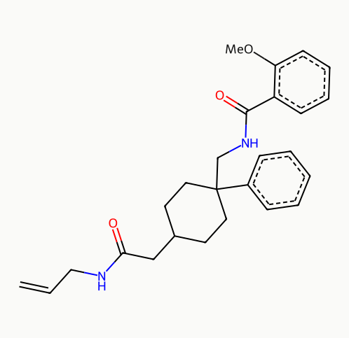 C=CCNC(=O)CC1CCC(CNC(=O)c2ccccc2OC)(c2ccccc2)CC1